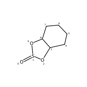 O=S1OC2CCCCC2O1